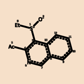 CC[S+]([O-])c1c(C(C)=O)ncc2ccccc12